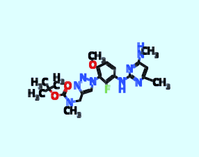 CNc1cc(C)nc(Nc2ccc(OC)c(-n3cc(CN(C)C(=O)OC(C)(C)C)nn3)c2F)n1